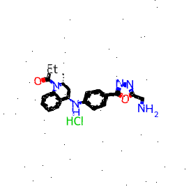 CCC(=O)N1c2ccccc2[C@H](Nc2ccc(-c3nnc(CN)o3)cc2)C[C@H]1C.Cl